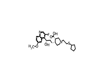 COc1ccc2ncc(F)c([C@@H](O)CC[C@H]3CCN(CCSC4CCCC4)C[C@H]3C(=O)O)c2c1